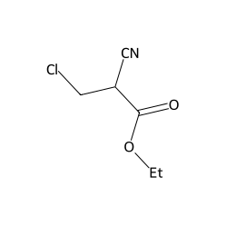 CCOC(=O)C(C#N)CCl